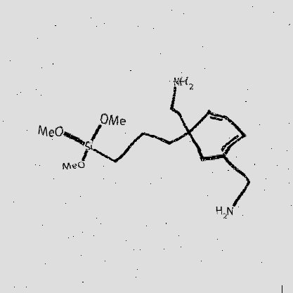 CO[Si](CCCC1(CN)C=CC=C(CN)C1)(OC)OC